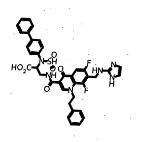 O=C(NCC(C(=O)O)N(c1ccc(-c2ccccc2)cc1)[SH](=O)=O)c1cn(CCc2ccccc2)c2c(F)c(CNc3ncc[nH]3)c(F)cc2c1=O